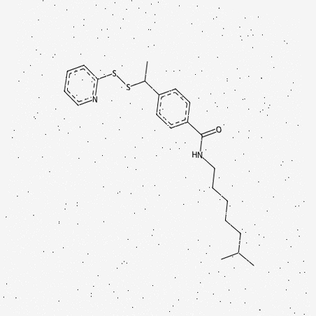 CC(C)CCCCCNC(=O)c1ccc(C(C)SSc2ccccn2)cc1